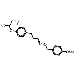 CCC(Oc1ccc(CCC=NOCc2ccc(OC)cc2)cc1)C(=O)O